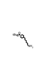 CC(C)(C)OC(=O)N1CCC(CCCCCCN)CC1